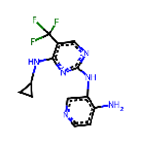 Nc1ccncc1Nc1ncc(C(F)(F)F)c(NC2CC2)n1